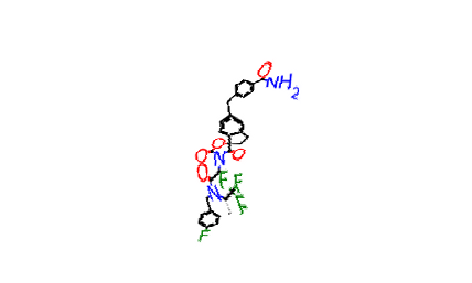 C[C@H](N(Cc1ccc(F)cc1)C(=O)CN1C(=O)O[C@@]2(CCc3cc(Cc4ccc(C(N)=O)cc4)ccc32)C1=O)C(F)(F)F